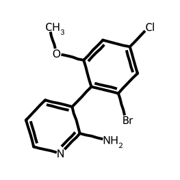 COc1cc(Cl)cc(Br)c1-c1cccnc1N